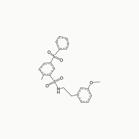 COc1cccc(CCNS(=O)(=O)c2cc(S(=O)(=O)c3ccccc3)ccc2C)c1